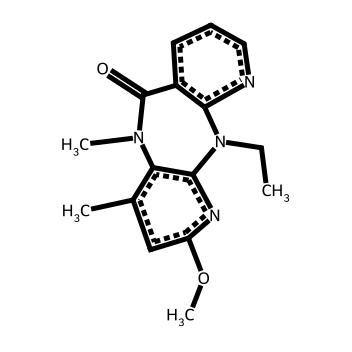 CCN1c2ncccc2C(=O)N(C)c2c(C)cc(OC)nc21